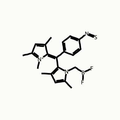 CC1=CC(C)=[N+](C)/C1=C(/c1ccc(N=S)cc1)c1c(C)cc(C)n1CB(F)F